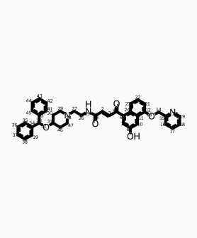 O=C(C=CC(=O)c1cc(O)cc2c(OCc3ccccn3)cccc12)NCCN1CCC(OC(c2ccccc2)c2ccccc2)CC1